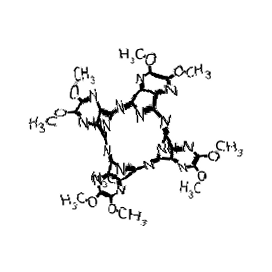 COc1nc2c(nc1OC)-c1nc-2nc2[nH]c(nc3[n+](C)c(nc4[nH]c(n1)c1nc(OC)c(OC)nc41)-c1nc(OC)c(OC)nc1-3)c1nc(OC)c(OC)nc21